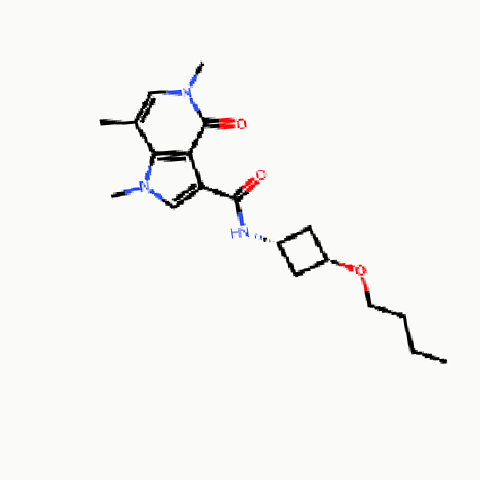 CCCCO[C@H]1C[C@H](NC(=O)c2cn(C)c3c(C)cn(C)c(=O)c23)C1